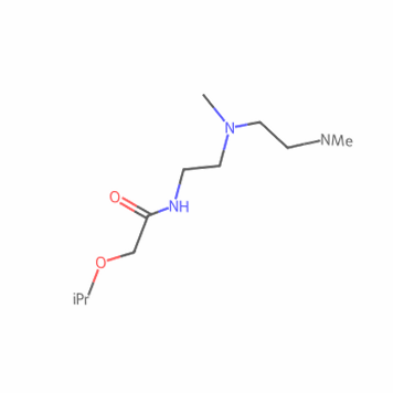 CNCCN(C)CCNC(=O)COC(C)C